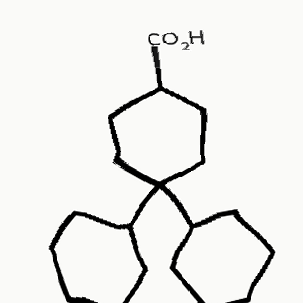 O=C(O)C1CCC(C2CCCCC2)(C2CCCCC2)CC1